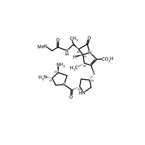 CNCC(=O)NC(C)[C@H]1C(=O)N2C(C(=O)O)=C(S[C@@H]3CN[C@H](C(=O)N4C[C@H](N)[C@@H](N)C4)C3)[C@H](C)[C@H]12